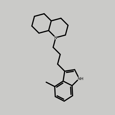 Cc1cccc2[nH]cc(CCCN3CCCC4CCCCC43)c12